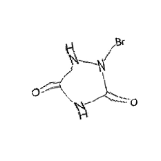 O=c1[nH]c(=O)n(Br)[nH]1